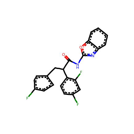 O=C(Nc1nc2ccccc2o1)C(Cc1ccc(F)cc1)c1ccc(F)cc1F